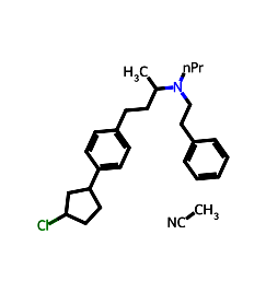 CC#N.CCCN(CCc1ccccc1)C(C)CCc1ccc(C2CCC(Cl)C2)cc1